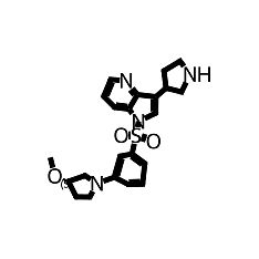 CO[C@H]1CCN(c2cccc(S(=O)(=O)n3cc(C4CCNC4)c4ncccc43)c2)C1